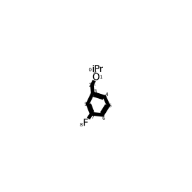 CC(C)O[CH]c1cccc(F)c1